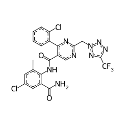 Cc1cc(Cl)cc(C(N)=O)c1NC(=O)c1cnc(Cn2nnc(C(F)(F)F)n2)nc1-c1ccccc1Cl